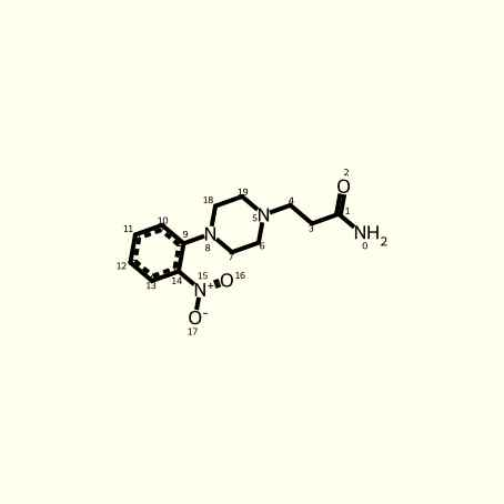 NC(=O)CCN1CCN(c2ccccc2[N+](=O)[O-])CC1